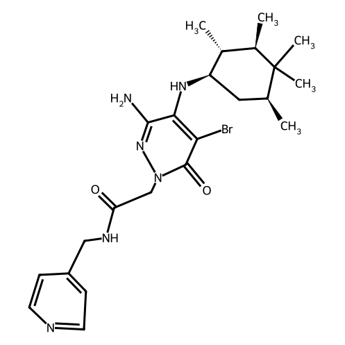 C[C@@H]1[C@@H](C)C(C)(C)[C@@H](C)C[C@H]1Nc1c(N)nn(CC(=O)NCc2ccncc2)c(=O)c1Br